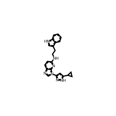 c1ccc2c(CCNc3ccc4ncn(-c5cc(C6CC6)[nH]n5)c4n3)c[nH]c2c1